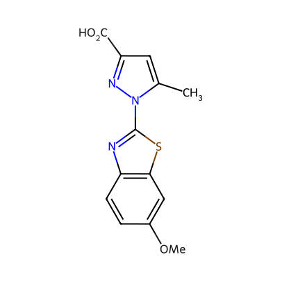 COc1ccc2nc(-n3nc(C(=O)O)cc3C)sc2c1